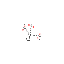 CO[Si](C)(CCCCC(CCCC[Si](C)(OC)OC)(CCCC[Si](C)(OC)OC)c1ccccc1)OC